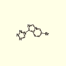 Brc1ccc2c(-n3cnnn3)ncn2c1